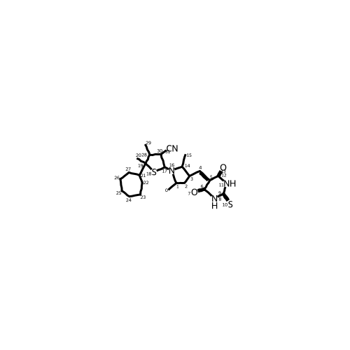 CC1CC(C=C2C(=O)NC(=S)NC2=O)C(C)N1C1SC(C)(C2CCCCCC2)C(C)C1C#N